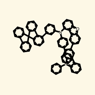 c1ccc(-c2ccc(N(c3cccc(-c4cccc5c4-c4ccccc4C54c5ccccc5-c5ccccc54)c3)c3cccc4oc5ccc(-c6ccc7c(c6)c6ccccc6n7-c6ccccc6)cc5c34)cc2)cc1